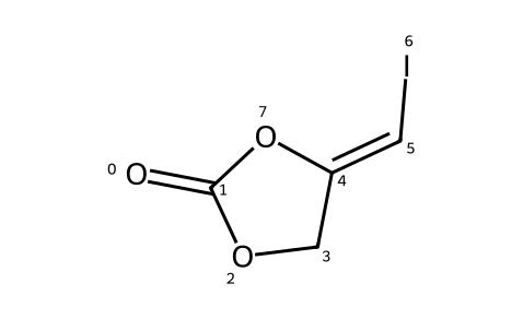 O=C1OC/C(=C/I)O1